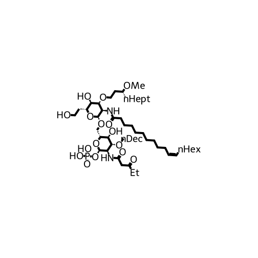 CCCCCC/C=C\CCCCCCCCCC(=O)N[C@H]1[C@H](OC[C@H]2O[C@H](OP(=O)(O)O)[C@H](NC(=O)CC(=O)CC)[C@@H](OCCCCCCCCCC)[C@@H]2O)O[C@H](CCO)[C@@H](O)[C@@H]1OCC[C@@H](CCCCCCC)OC